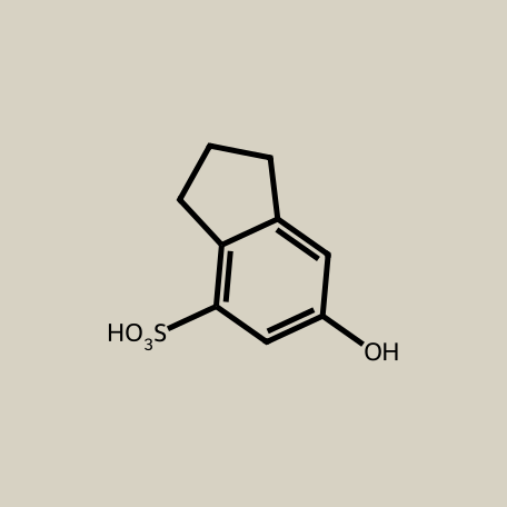 O=S(=O)(O)c1cc(O)cc2c1CCC2